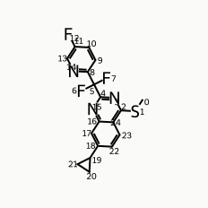 CSc1nc(C(F)(F)c2ccc(F)cn2)nc2cc(C3CC3)ccc12